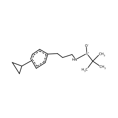 CC(C)(C)[S+]([O-])NCCCc1ccc(C2CC2)cc1